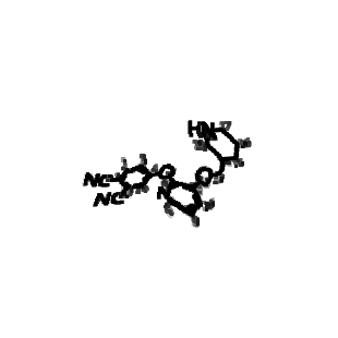 N#Cc1ccc(Oc2ncccc2OCC2CCCNC2)cc1C#N